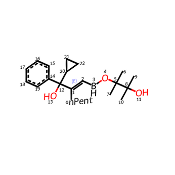 CCCCC/C(=C\BOC(C)(C)C(C)(C)O)C(O)(c1ccccc1)C1CC1